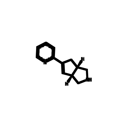 C1=C(c2ccccn2)C[C@@H]2CNC[C@H]12